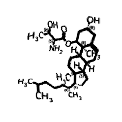 CC(C)CCC[C@@H](C)[C@H]1CC[C@H]2[C@@H]3CC=C4C[C@@H](O)CC(OC(=O)[C@@H](N)[C@@H](C)O)[C@]4(C)[C@H]3CC[C@]12C